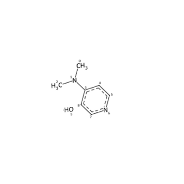 CN(C)c1ccncc1.[OH]